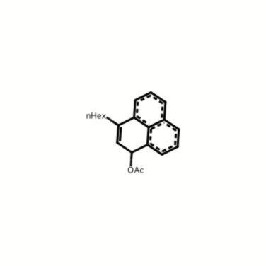 CCCCCCC1=CC(OC(C)=O)c2cccc3cccc1c23